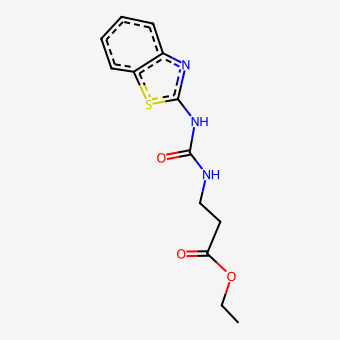 CCOC(=O)CCNC(=O)Nc1nc2ccccc2s1